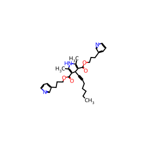 CCCCCC#CC1C(C(=O)OCCCc2cccnc2)=C(C)NC(C)=C1C(=O)OCCCc1cccnc1